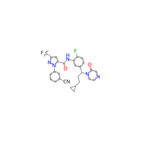 N#Cc1cccc(-n2nc(C(F)(F)F)cc2C(=O)Nc2cc(C(CCC3CC3)n3ccncc3=O)ccc2F)c1